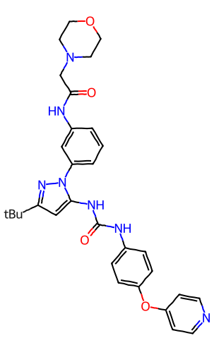 CC(C)(C)c1cc(NC(=O)Nc2ccc(Oc3ccncc3)cc2)n(-c2cccc(NC(=O)CN3CCOCC3)c2)n1